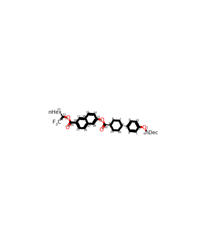 CCCCCCCCCCOc1ccc([C@H]2CC[C@H](C(=O)Oc3ccc4cc(C(=O)O[C@H](CCCCCC)C(F)(F)F)ccc4c3)CC2)cc1